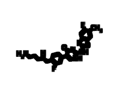 Cc1cc2oc(Nc3nc(=O)c(-c4ccc(CNCCCN)c(F)c4)c[nH]3)nc2cc1F